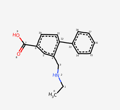 CCNCc1cc(C(=O)O)ccc1-c1ccccc1